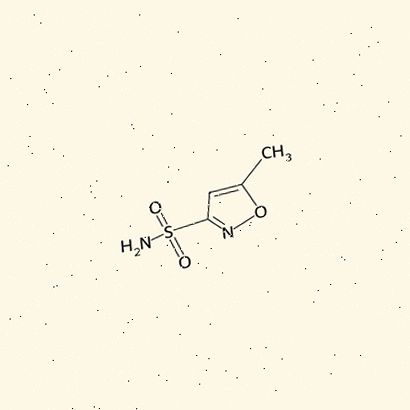 Cc1cc(S(N)(=O)=O)no1